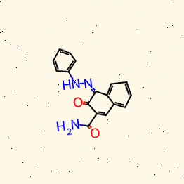 NC(=O)C1=Cc2ccccc2C(=NNc2ccccc2)C1=O